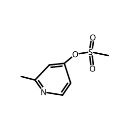 Cc1cc(OS(C)(=O)=O)ccn1